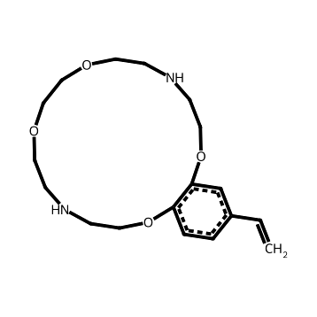 C=Cc1ccc2c(c1)OCCNCCOCCOCCNCCO2